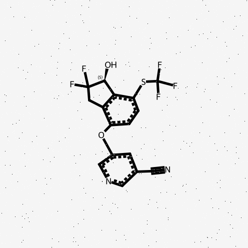 N#Cc1cncc(Oc2ccc(SC(F)(F)F)c3c2CC(F)(F)[C@H]3O)c1